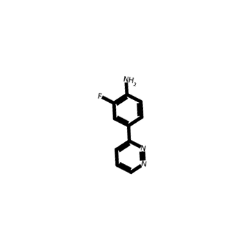 Nc1ccc(-c2cccnn2)cc1F